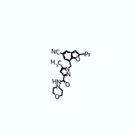 Cc1cc(C(=O)NN2CCOCC2)nn1Cc1cc(C#N)cc2cc(C(C)C)oc12